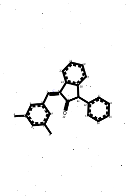 Cc1cc(C)cc(/C=C2\C(=O)C(c3ccccc3)c3ccccc32)c1